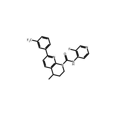 CC1CCN(C(=O)Nc2ccncc2F)c2nc(-c3cccc(C(F)(F)F)c3)ccc21